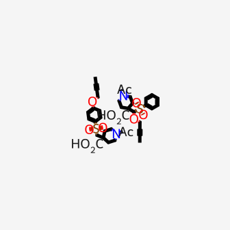 CC#CCOC(C1(C(=O)O)CCN(C(C)=O)CC1)S(=O)(=O)c1ccccc1.CC#CCOc1ccc(S(=O)(=O)CC2(C(=O)O)CCN(C(C)=O)CC2)cc1